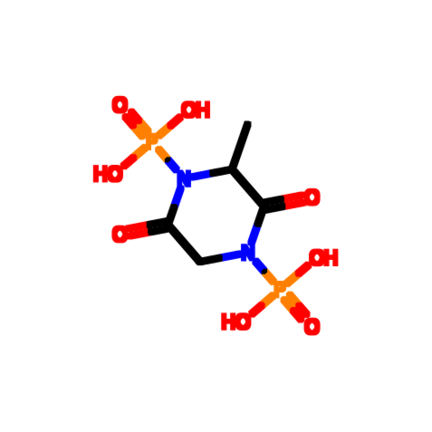 CC1C(=O)N(P(=O)(O)O)CC(=O)N1P(=O)(O)O